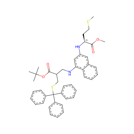 COC(=O)[C@H](CCSC)Nc1cc(NCC(CSC(c2ccccc2)(c2ccccc2)c2ccccc2)C(=O)OC(C)(C)C)c2ccccc2c1